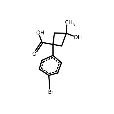 CC1(O)CC(C(=O)O)(c2ccc(Br)cc2)C1